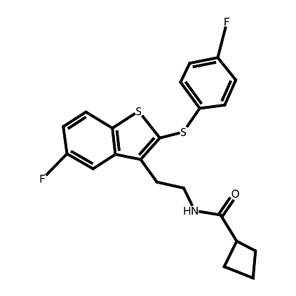 O=C(NCCc1c(Sc2ccc(F)cc2)sc2ccc(F)cc12)C1CCC1